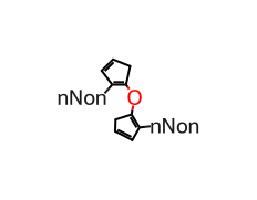 CCCCCCCCCC1=C(OC2=C(CCCCCCCCC)C=CC2)CC=C1